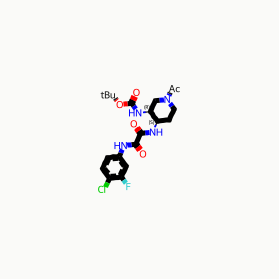 CC(=O)N1CC[C@H](NC(=O)C(=O)Nc2ccc(Cl)c(F)c2)[C@H](NC(=O)OC(C)(C)C)C1